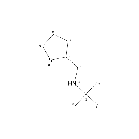 CC(C)(C)NCC1CCCS1